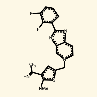 CNc1sc(Cn2ccc3nc(-c4cccc(F)c4F)nc-3c2)cc1C(=N)C(F)(F)F